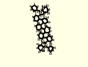 c1ccc(-n2c(-c3ccccc3-c3ccccc3-c3ccccc3-c3ccccc3-c3ccccc3-c3ccccc3-c3nc4cccnc4n3-c3ccccc3)cc3cccnc32)cc1